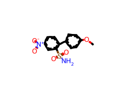 COc1ccc(-c2ccc([N+](=O)[O-])cc2S(N)(=O)=O)cc1